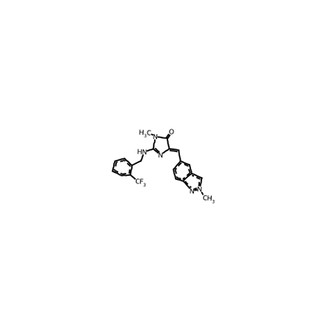 CN1C(=O)/C(=C/c2ccc3nn(C)cc3c2)N=C1NCc1ccccc1C(F)(F)F